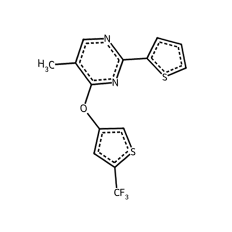 Cc1cnc(-c2cccs2)nc1Oc1csc(C(F)(F)F)c1